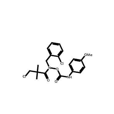 COc1ccc(NC(=O)ON(Cc2ccccc2Cl)C(=O)C(C)(C)CCl)cc1